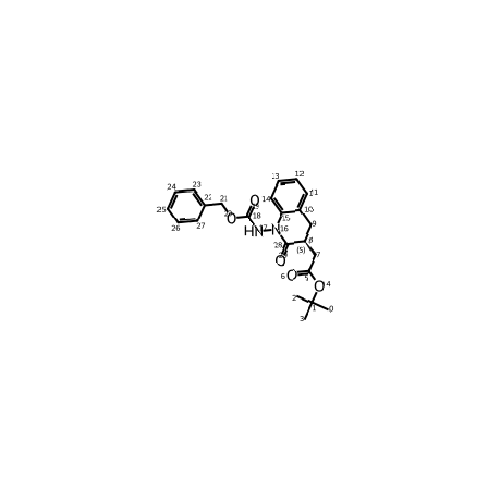 CC(C)(C)OC(=O)C[C@@H]1Cc2ccccc2N(NC(=O)OCc2ccccc2)C1=O